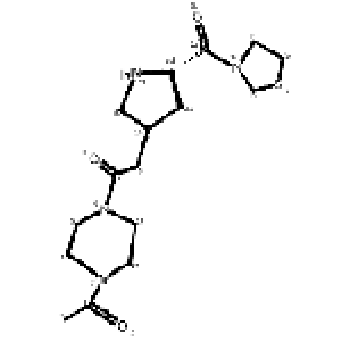 CC(=O)N1CCN(C(=O)CC2CN[C@H](C(=O)N3CCSC3)C2)CC1